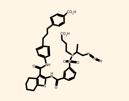 CC(CN=[N+]=[N-])N(CCCC(=O)O)S(=O)(=O)c1cccc(C(=O)Nc2sc3c(c2C(=O)Nc2ccc(CCCc4ccc(C(=O)O)cc4)cc2)CCCC3)c1